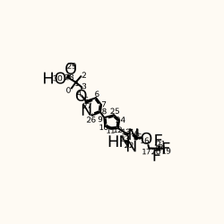 CC(C)(COc1ccc(-c2ccc(-c3nc(OCC(F)(F)F)n[nH]3)cc2)cn1)C(=O)O